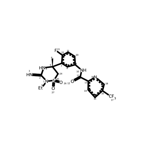 CCN1C(=N)N[C@](C)(c2cc(NC(=O)c3ccc(C(F)(F)F)cn3)ccc2F)CS1(=O)=O